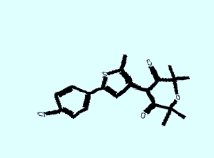 Cc1sc(-c2ccc(Cl)cc2)cc1C1C(=O)C(C)(C)OC(C)(C)C1=O